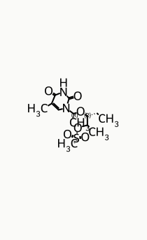 CC[C@@H](O[C@H](C)n1cc(C)c(=O)[nH]c1=O)C(C)OS(C)(=O)=O